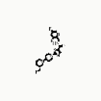 O=C(NCc1ncc(F)cc1F)c1cnc(N2CCC(N3CCC[C@H](CF)C3)CC2)s1